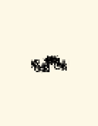 CC1C(c2cnc3ccc(OC4CCCCC4)cc3c2)N(C)N2CCC3(CCN(C(=O)NC4CCC4)C3)C12